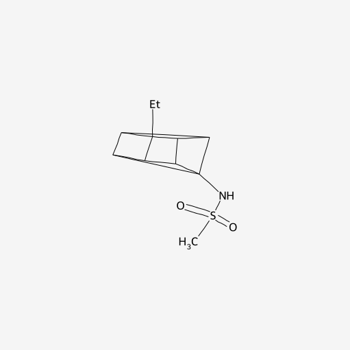 CCC12C3C4C1C1C2C3C41NS(C)(=O)=O